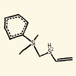 C=C[SiH2]C[Si](C)(C)c1ccccc1